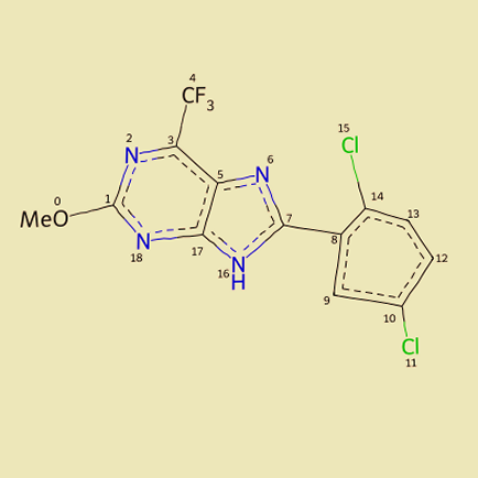 COc1nc(C(F)(F)F)c2nc(-c3cc(Cl)ccc3Cl)[nH]c2n1